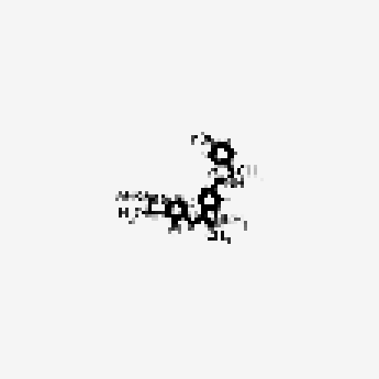 CCCCc1ccc([C@H](C)NC(=O)c2ccc3c(Cc4cccc(O[C@H](C)C(=O)OC)c4Cl)c(C)n(C)c3c2)cc1